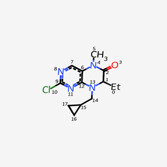 CCC1C(=O)N(C)c2cnc(Cl)nc2N1CC1CC1